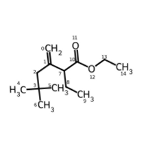 C=C(CC(C)(C)C)C(CC)C(=O)OCC